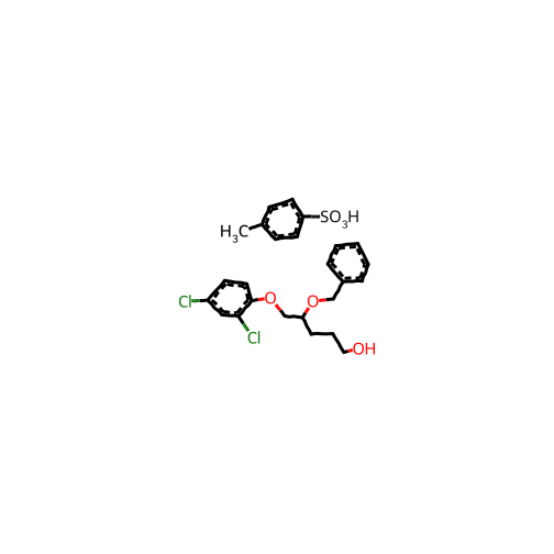 Cc1ccc(S(=O)(=O)O)cc1.OCCCC(COc1ccc(Cl)cc1Cl)OCc1ccccc1